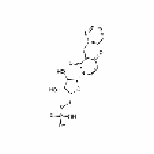 O=c1ccn([C@@H]2O[C@H](COP(=O)(O)O)[C@H](O)C2O)c(=O)n1Cc1ccccn1